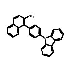 Nc1ccc2ccccc2c1-c1ccc(-n2c3ccccc3c3ccccc32)cc1